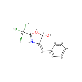 O=C1OC(C(F)(F)F)=NC1=Cc1ccccc1